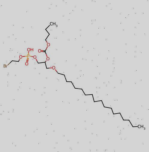 CCCCCCCCCCCCCCCCCCOCC(COP(=O)(O)OCCBr)OC(=O)OCCCC